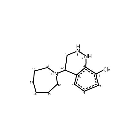 Clc1cccc2c1NNCC2N1CCCCCC1